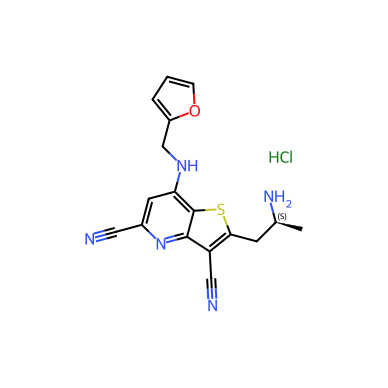 C[C@H](N)Cc1sc2c(NCc3ccco3)cc(C#N)nc2c1C#N.Cl